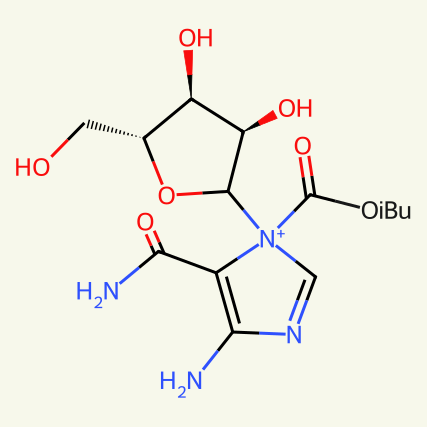 CC(C)COC(=O)[N+]1(C2O[C@H](CO)[C@@H](O)[C@H]2O)C=NC(N)=C1C(N)=O